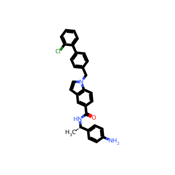 C[C@H](NC(=O)c1ccc2c(ccn2Cc2ccc(-c3ccccc3Cl)cc2)c1)c1ccc(N)cc1